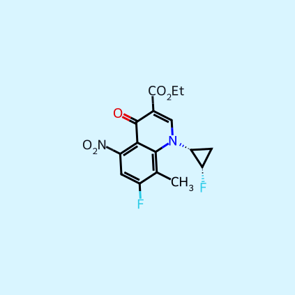 CCOC(=O)c1cn([C@@H]2C[C@@H]2F)c2c(C)c(F)cc([N+](=O)[O-])c2c1=O